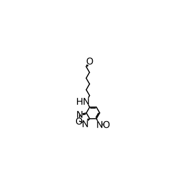 O=CCCCCCNc1ccc(N=O)c2nonc12